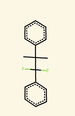 CC(C)(c1ccccc1)C(F)(F)c1ccccc1